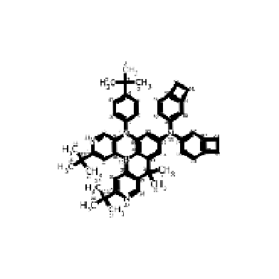 CC(C)(C)c1ccc(N2c3cnc(C(C)(C)C)cc3B3c4cc(C(C)(C)C)ncc4C(C)(C)c4cc(N(c5ccc6c(c5)CC6)c5ccc6c(c5)CC6)cc2c43)cc1